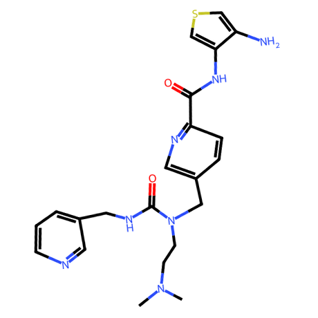 CN(C)CCN(Cc1ccc(C(=O)Nc2cscc2N)nc1)C(=O)NCc1cccnc1